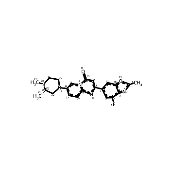 Cc1nc2c(F)cc(-c3cc(=O)n4cc(N5CCN(C)[C@@H](C)C5)ccc4n3)cc2o1